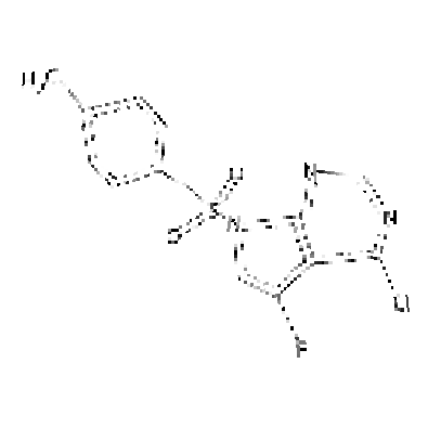 Cc1ccc(S(=O)(=O)n2cc(F)c3c(Cl)ncnc32)cc1